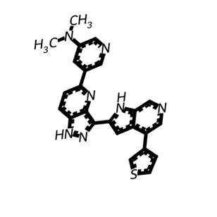 CN(C)c1cncc(-c2ccc3[nH]nc(-c4cc5c(-c6ccsc6)cncc5[nH]4)c3n2)c1